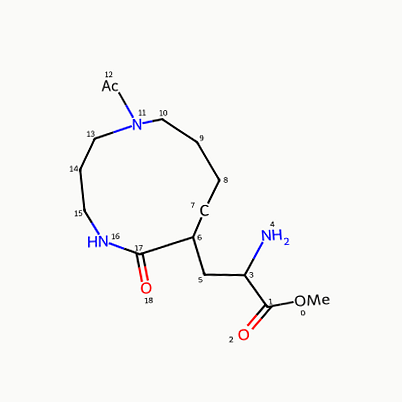 COC(=O)C(N)CC1CCCCN(C(C)=O)CCCNC1=O